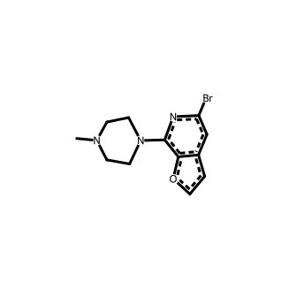 CN1CCN(c2nc(Br)cc3ccoc23)CC1